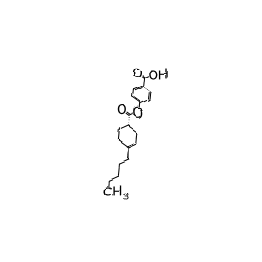 CCCCC[C@H]1CC[C@H](C(=O)Oc2ccc(C(=O)O)cc2)CC1